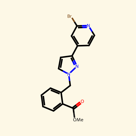 COC(=O)c1ccccc1Cn1ccc(-c2ccnc(Br)c2)n1